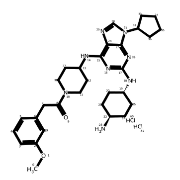 COc1cccc(CC(=O)N2CCC(Nc3nc(N[C@H]4CC[C@H](N)CC4)nc4c3ncn4C3CCCC3)CC2)c1.Cl.Cl